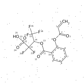 C=CC(=O)Oc1ccccc1C(=O)OC(C(F)(F)F)C(F)(F)S(=O)(=O)O